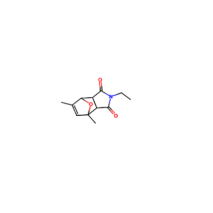 CCN1C(=O)C2C3OC(C)(C=C3C)C2C1=O